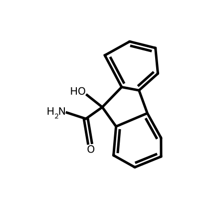 NC(=O)C1(O)c2ccccc2-c2ccccc21